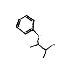 CC(Cl)C(I)Oc1ccccc1